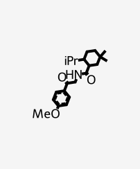 COc1ccc(C(=O)CNC(=O)C2CC(C)(C)CCC2C(C)C)cc1